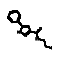 O=C(NCCI)c1cc(-c2ccccc2)[nH]n1